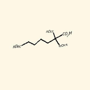 CCCCCCCCCCCCCCC(CCCCCCCC)(CCCCCCCC)C(=O)O